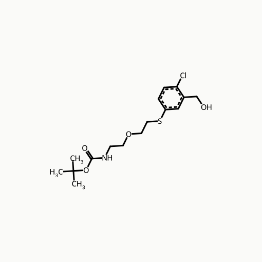 CC(C)(C)OC(=O)NCCOCCSc1ccc(Cl)c(CO)c1